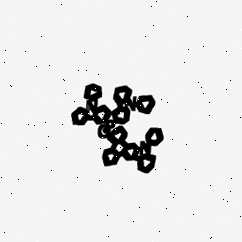 O=P(c1ccc2c(c1)c1ccccc1c1cc3c4ccccc4n(-c4ccccc4)c3cc21)(c1ccc2c(c1)c1ccccc1n2-c1ccccc1)c1ccc2c(c1)c1ccccc1n2-c1ccccc1